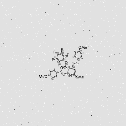 COc1ccc(COc2nc(SC)nc(OCc3ccc(OC)cc3)c2C(=O)Oc2c(F)c(F)c(F)c(F)c2F)cc1